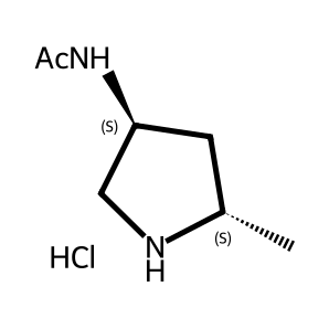 CC(=O)N[C@@H]1CN[C@@H](C)C1.Cl